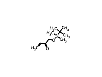 C=CC(=O)CO[Si](C)(C)C(C)(C)C